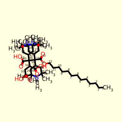 CCCCCCCCCCCCCOC(=O)C(C1CC(C)(C)N(C)C(C)(C)C1)(C1CC(C)(C)N(C)C(C)(C)C1)C(C(=O)O)(C1CC(C)(C)N(C)C(C)(C)C1)C(CC(=O)O)C(=O)O